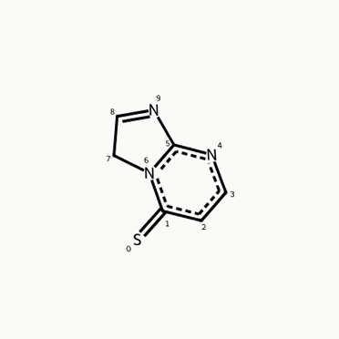 S=c1ccnc2n1CC=N2